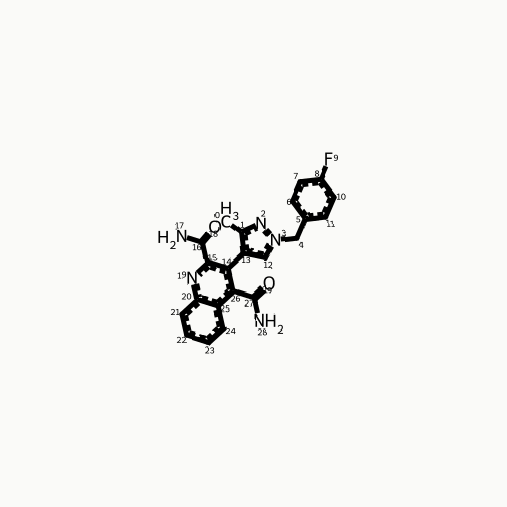 Cc1nn(Cc2ccc(F)cc2)cc1-c1c(C(N)=O)nc2ccccc2c1C(N)=O